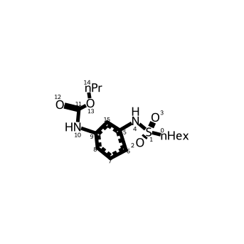 CCCCCCS(=O)(=O)Nc1cccc(NC(=O)OCCC)c1